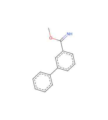 COC(=N)c1cccc(-c2ccccc2)c1